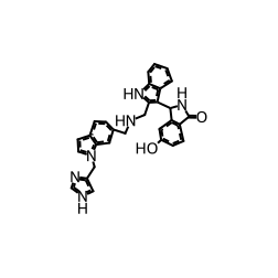 O=C1NC(c2c(CNCc3ccc4ccn(Cc5c[nH]cn5)c4c3)[nH]c3ccccc23)c2cc(O)ccc21